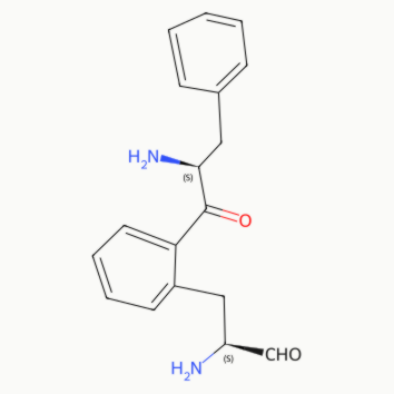 N[C@H](C=O)Cc1ccccc1C(=O)[C@@H](N)Cc1ccccc1